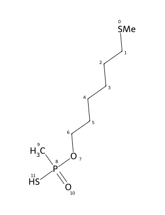 CSCCCCCCOP(C)(=O)S